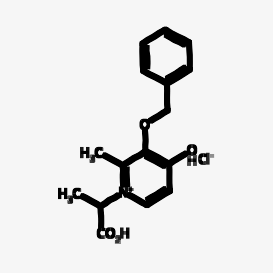 Cc1c(OCc2ccccc2)c(O)cc[n+]1C(C)C(=O)O.[Cl-]